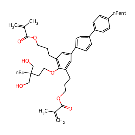 C=C(C)C(=O)OCCCc1cc(-c2ccc(-c3ccc(CCCCC)cc3)cc2)cc(CCCOC(=O)C(=C)C)c1OCCC(CO)(CO)CCCC